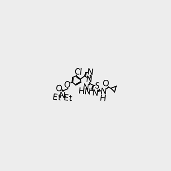 CCN(CC)C(=O)COc1ccc(-c2cncn2-c2n[nH]c3nc(NC(=O)C4CC4)sc23)c(Cl)c1